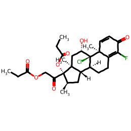 CCC(=O)OCC(=O)[C@]1(OC(=O)CC)[C@H](C)C[C@H]2[C@@H]3CCC4=C(F)C(=O)C=C[C@]4(C)[C@@]3(Cl)[C@@H](O)C[C@@]21C